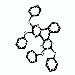 c1ccc(Oc2nc3c4ccccc4c4nc(Oc5ccccc5)c(Oc5ccccc5)nc4c3nc2Oc2ccccc2)cc1